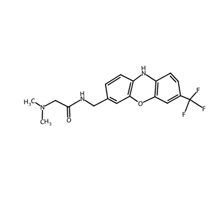 CN(C)CC(=O)NCc1ccc2c(c1)Oc1cc(C(F)(F)F)ccc1N2